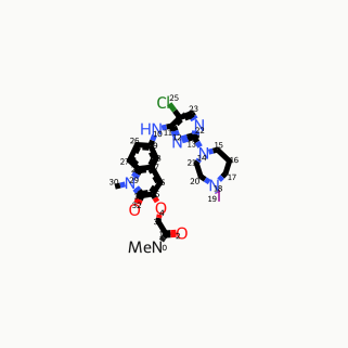 CNC(=O)COc1cc2cc(Nc3nc(N4CCCN(I)CC4)ncc3Cl)ccc2n(C)c1=O